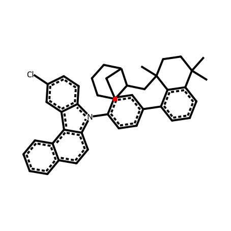 CC1(C)CCC(C)(CC2C3CCCC2C3)c2c(-c3ccc(-n4c5ccc(Cl)cc5c5c6ccccc6ccc54)cc3)cccc21